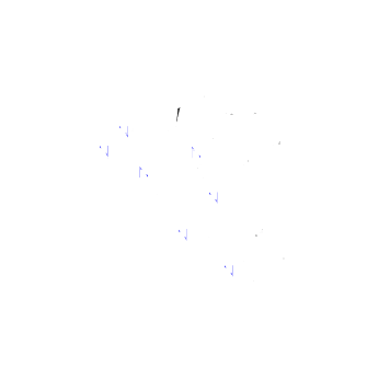 CC[C@@H]1c2nnc(C)n2-c2cnc(C3CC=CN3)nc2N1C1CCCC1